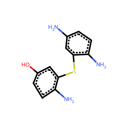 Nc1ccc(N)c(Sc2cc(O)ccc2N)c1